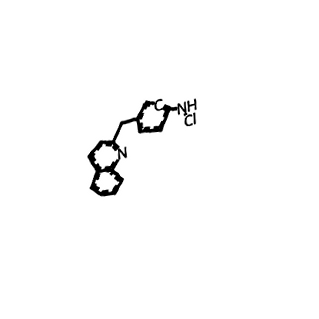 ClNc1ccc(Cc2ccc3ccccc3n2)cc1